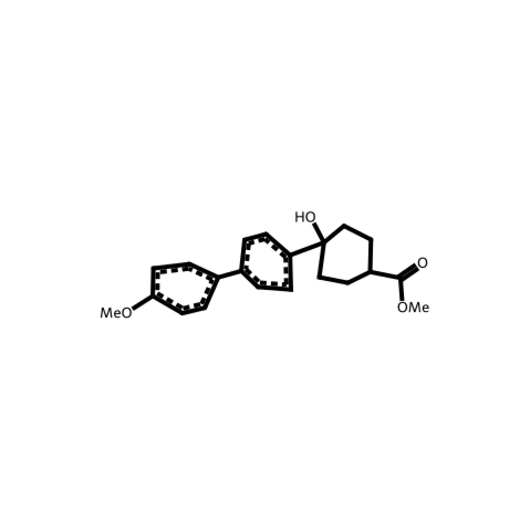 COC(=O)C1CCC(O)(c2ccc(-c3ccc(OC)cc3)cc2)CC1